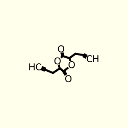 C#CCC1OC(=O)C(CC#C)OC1=O